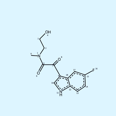 CN(CCO)C(=O)C(=O)c1c[nH]c2ccc(F)cc12